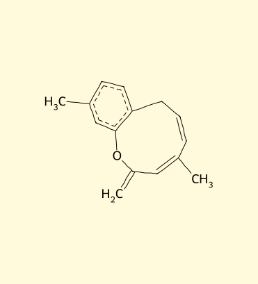 C=C1/C=C(C)\C=C/Cc2ccc(C)cc2O1